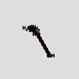 CCCN(OCC)C(=O)C1=Cc2ccc(-c3cnc(CNC(=O)CCOCCOCCOCCOCCOCCOCCOCCOCCOCCOCCC(=O)O)nc3)cc2N=C(N)C1